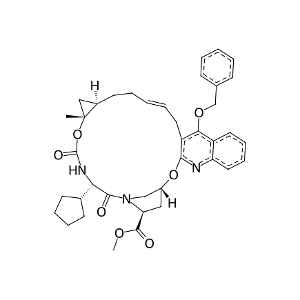 COC(=O)[C@@H]1C[C@@H]2CN1C(=O)[C@H](C1CCCC1)NC(=O)O[C@]1(C)C[C@H]1CC/C=C/Cc1c(nc3ccccc3c1OCc1ccccc1)O2